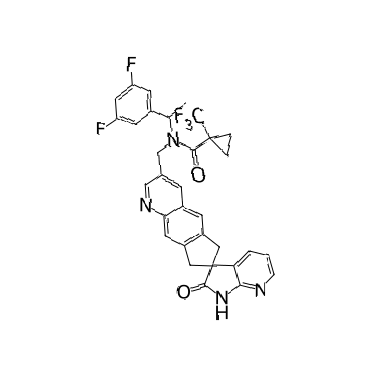 CC(c1cc(F)cc(F)c1)N(Cc1cnc2cc3c(cc2c1)CC1(C3)C(=O)Nc2ncccc21)C(=O)C1(C(F)(F)F)CC1